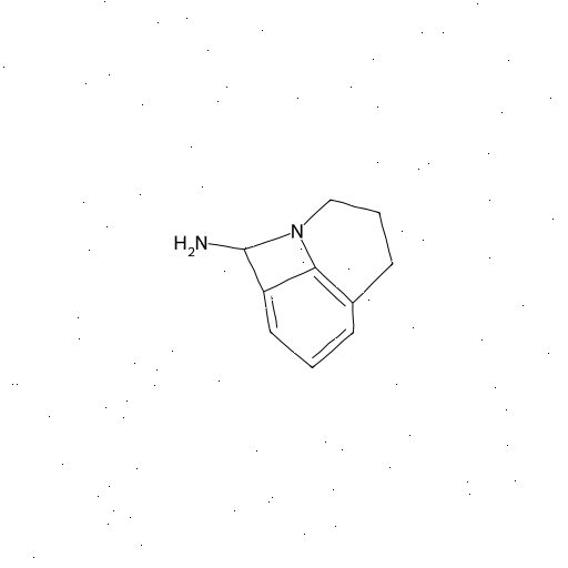 NC1c2cccc3c2N1CCC3